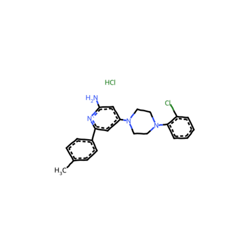 Cc1ccc(-c2cc(N3CCN(c4ccccc4Cl)CC3)cc(N)n2)cc1.Cl